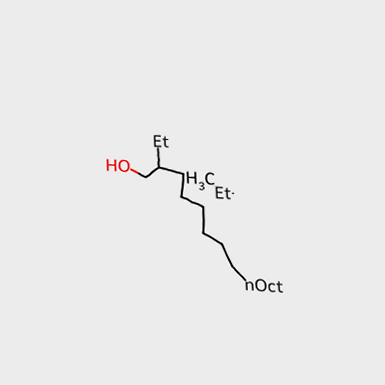 CCCCCCCCCCCCCCC(CC)CO.C[CH]C